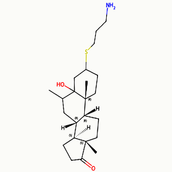 CC1C[C@@H]2[C@@H](CC[C@]3(C)C(=O)CC[C@@H]23)[C@@]2(C)CCC(SCCCN)CC12O